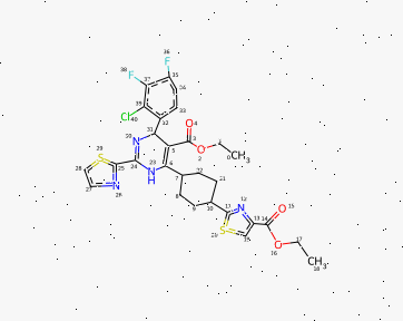 CCOC(=O)C1=C(C2CCC(c3nc(C(=O)OCC)cs3)CC2)NC(c2nccs2)=NC1c1ccc(F)c(F)c1Cl